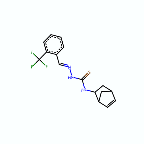 FC(F)(F)c1ccccc1C=NNC(=S)NC1CC2C=CC1C2